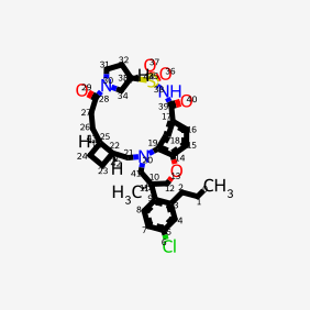 CCCc1cc(Cl)ccc1[C@]1(C)COc2ccc3cc2N(C[C@@H]2CC[C@H]2CCC(=O)N2CC[C@@H](C2)S(=O)(=O)NC3=O)C1